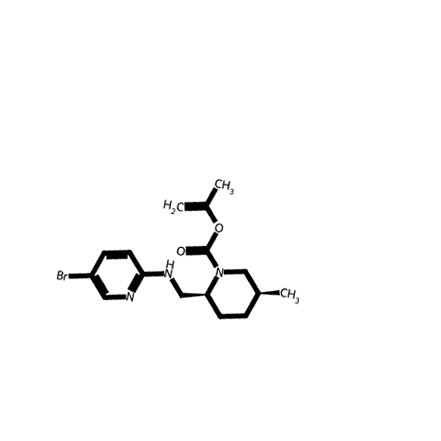 C=C(C)OC(=O)N1C[C@@H](C)CC[C@H]1CNc1ccc(Br)cn1